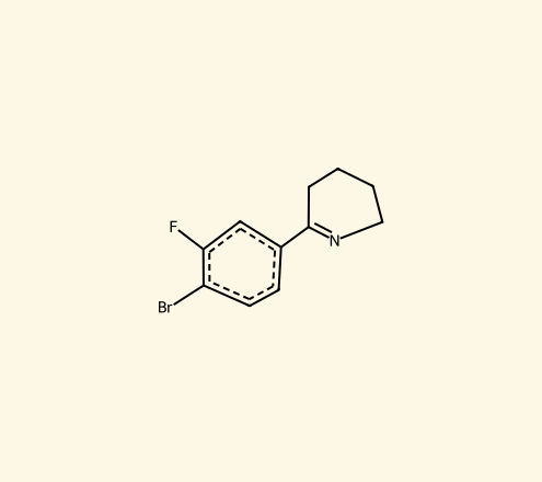 Fc1cc(C2=NCCCC2)ccc1Br